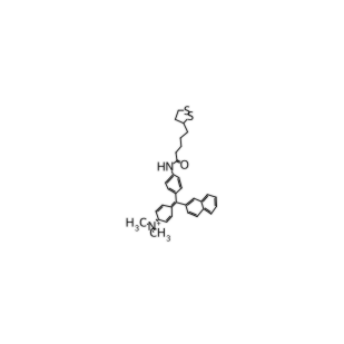 C[N+](C)=C1C=CC(=C(c2ccc(NC(=O)CCCCC3CCSS3)cc2)c2ccc3ccccc3c2)C=C1